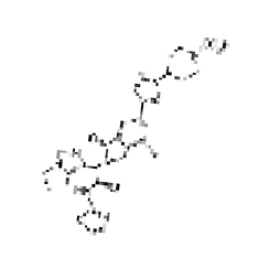 O=C(Nc1nccs1)C(c1ncn2c1CCC2)N1Cc2c(F)cc(-c3cnn(C4CCN(C(=O)O)CC4)c3)cc2C1=O